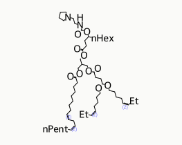 CC/C=C\CCCCOC(CCC(=O)OCC(COC(=O)CCCCCCC/C=C\C/C=C\CCCCC)COC(=O)CCC(CCCCCC)OC(=O)NCCN1CCCC1)OCCCC/C=C\CC